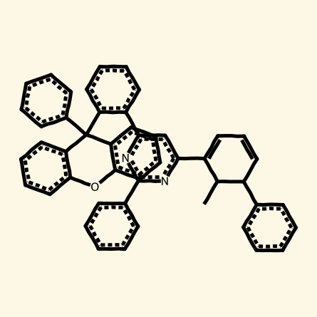 CC1C(c2cc(-c3ccccc3C3(c4ccccc4)c4ccccc4Oc4ccccc43)nc(-c3ccccc3)n2)=CC=CC1c1ccccc1